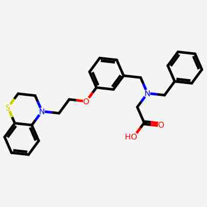 O=C(O)CN(Cc1ccccc1)Cc1cccc(OCCN2CCSc3ccccc32)c1